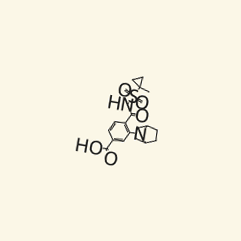 CC1(S(=O)(=O)NC(=O)c2ccc(C(=O)O)cc2N2C3CCC2CC3)CC1